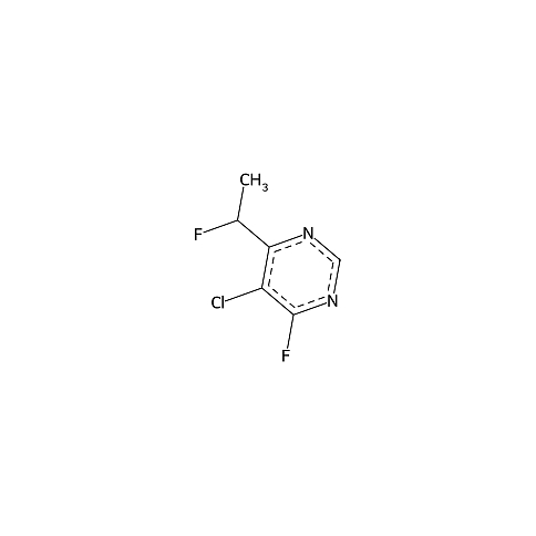 CC(F)c1ncnc(F)c1Cl